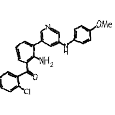 COc1ccc(Nc2cncc(-c3cccc(C(=O)c4ccccc4Cl)c3N)c2)cc1